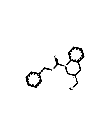 O=C(OCc1ccccc1)N1C[C@H](CO)Cc2ccccc21